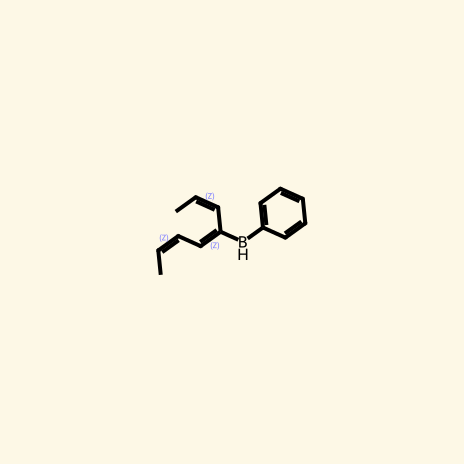 C\C=C/C=C(Bc1ccccc1)\C=C/C